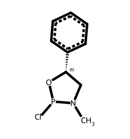 CN1C[C@@H](c2ccccc2)OP1Cl